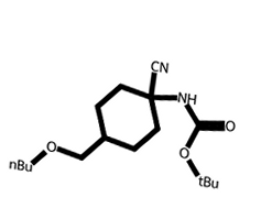 CCCCOCC1CCC(C#N)(NC(=O)OC(C)(C)C)CC1